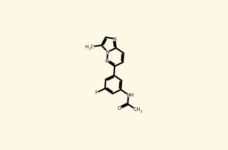 CC(=O)Nc1cc(F)cc(-c2ccc3ncc(C)n3n2)c1